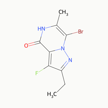 CCc1nn2c(Br)c(C)[nH]c(=O)c2c1F